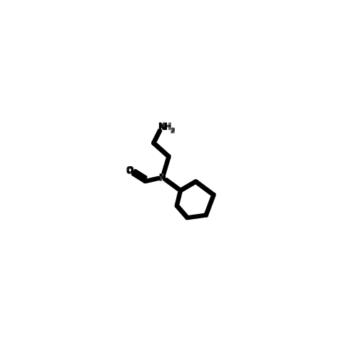 NCCN(C=O)C1CCCCC1